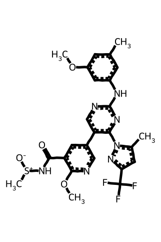 COc1cc(C)cc(Nc2ncc(-c3cnc(OC)c(C(=O)N[S+](C)[O-])c3)c(-n3nc(C(F)(F)F)cc3C)n2)c1